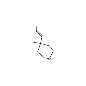 C/C=C/C1(C)CCOCC1